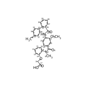 COc1cc(C(=O)N(C)c2ccccc2OCC(=O)O)ccc1NC(=O)c1ccccc1-c1ccc(C)cc1